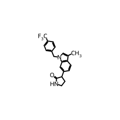 Cc1cn(Cc2ccc(C(F)(F)F)cc2)c2cc(C3CCNC3=O)ccc12